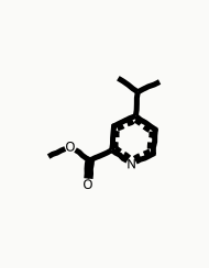 COC(=O)c1cc(C(C)C)ccn1